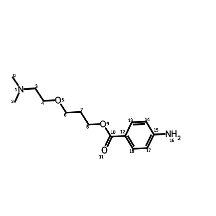 CN(C)CCOCCCOC(=O)c1ccc(N)cc1